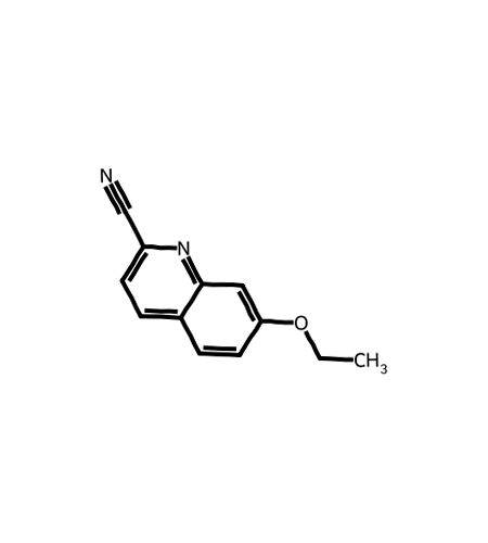 CCOc1ccc2ccc(C#N)nc2c1